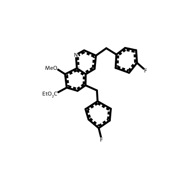 CCOC(=O)c1cc(Cc2ccc(F)cc2)c2cc(Cc3ccc(F)cc3)cnc2c1OC